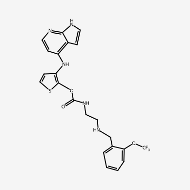 O=C(NCCNCc1ccccc1OC(F)(F)F)Oc1sccc1Nc1ccnc2[nH]ccc12